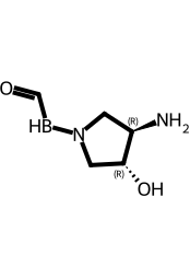 N[C@@H]1CN(BC=O)C[C@H]1O